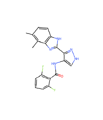 Cc1ccc2[nH]c(-c3n[nH]cc3NC(=O)c3c(F)cccc3F)nc2c1C